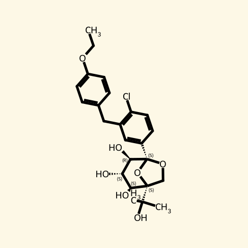 CCOc1ccc(Cc2cc([C@]34OC[C@](C(C)(C)O)(O3)[C@@H](O)[C@H](O)[C@H]4O)ccc2Cl)cc1